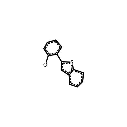 [O]c1ccccc1-c1cc2ccccc2s1